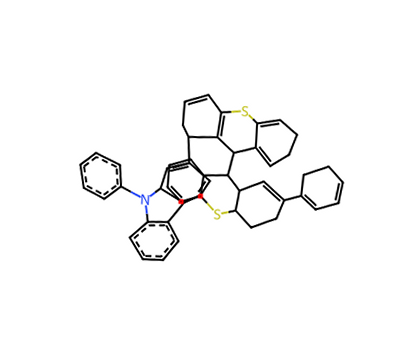 C1=CCCC(C2=CC3C(CC2)SC2C=CC=CC2C3C2C3=CCCC=C3SC3=C2C(C2=CC4C(C=C2)c2ccccc2N4c2ccccc2)CC=C3)=C1